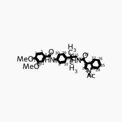 COc1ccc(C(=O)Nc2ccc(C(C)(C)CNC(=O)c3cn(C(C)=O)c4ccccc34)cc2)cc1OC